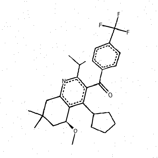 CO[C@H]1CC(C)(C)Cc2nc(C(C)C)c(C(=O)c3ccc(C(F)(F)F)cc3)c(C3CCCC3)c21